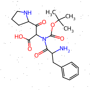 CC(C)(C)OC(=O)N(C(=O)C(N)Cc1ccccc1)C(C(=O)O)C(=O)C1CCCN1